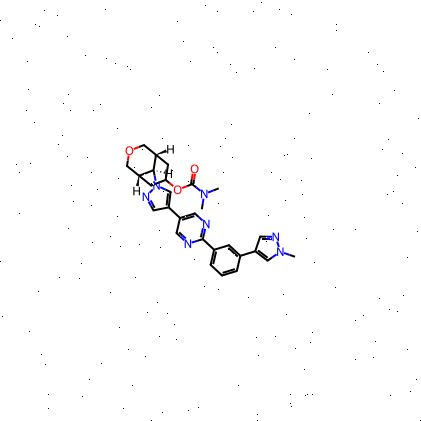 CN(C)C(=O)OC1C[C@H]2COC[C@@H](C1)[C@@H]2n1cc(-c2cnc(-c3cccc(-c4cnn(C)c4)c3)nc2)cn1